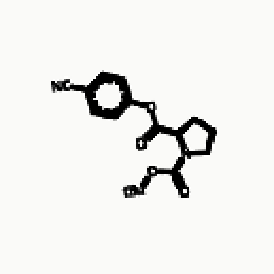 CC(C)(C)OC(=O)N1CCCC1C(=O)Oc1ccc(C#N)cc1